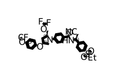 CCS(=O)(=O)c1ccc([C@H](CC#N)NC(=O)c2ccc(N3C[C@H](Oc4ccc(OC(F)(F)F)cc4)C[C@H]3COC(F)F)cc2)cc1